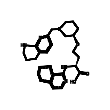 O=C(O)[C@@H](CCO[C@@H]1CCCN(Cc2ccc3c(n2)NCCC3)C1)Nc1nccc2ccccc12